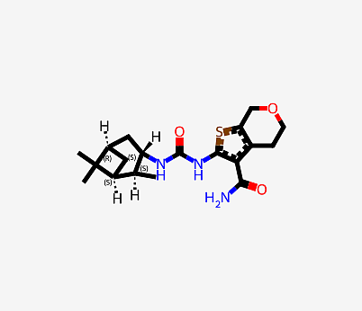 C[C@@H]1[C@@H](NC(=O)Nc2sc3c(c2C(N)=O)CCOC3)C[C@H]2C[C@@H]1C2(C)C